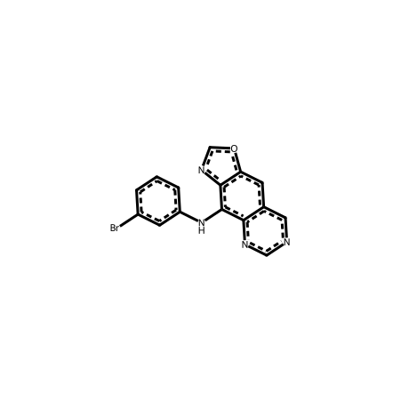 Brc1cccc(Nc2c3ncncc3cc3ocnc23)c1